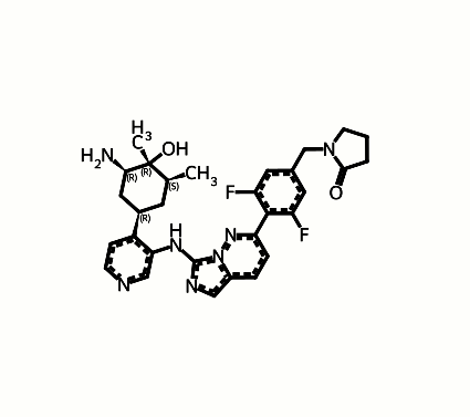 C[C@H]1C[C@@H](c2ccncc2Nc2ncc3ccc(-c4c(F)cc(CN5CCCC5=O)cc4F)nn23)C[C@@H](N)[C@]1(C)O